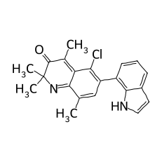 CC1=c2c(Cl)c(-c3cccc4cc[nH]c34)cc(C)c2=NC(C)(C)C1=O